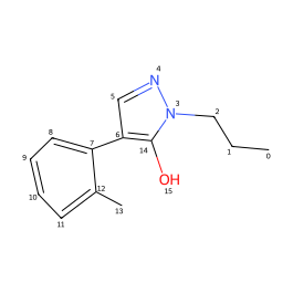 CCCn1ncc(-c2ccccc2C)c1O